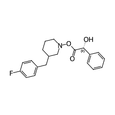 O=C(ON1CCCC(Cc2ccc(F)cc2)C1)[C@H](O)c1ccccc1